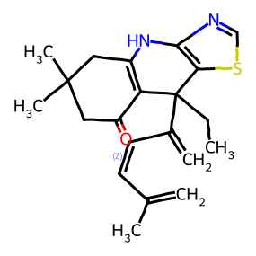 C=C(C)/C=C\C(=C)C1(CC)C2=C(CC(C)(C)CC2=O)Nc2ncsc21